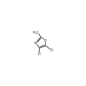 Cc1nc(Cl)c(Cl)o1